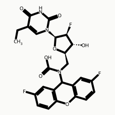 CCc1cn([C@@H]2O[C@H](CN(C(=O)O)C3c4cc(F)ccc4Oc4ccc(F)cc43)[C@@H](O)[C@@H]2F)c(=O)[nH]c1=O